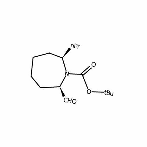 CCC[C@@H]1CCCC[C@H](C=O)N1C(=O)OC(C)(C)C